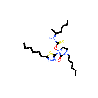 CCCCCCc1nnc([N+]2(OC(=S)NC(C)CCCC)CCN(CCCCCC)C2=O)s1